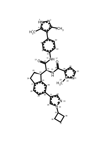 Cc1n[nH]c(C)c1-c1ccc(NC(=O)[C@@H](NC(=O)c2ccnn2C)[C@@H]2CCc3ccc(-c4cnn(C5CCC5)c4)cc32)cc1